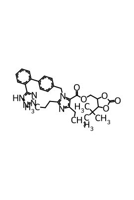 CCCc1nc(CC)c(C(=O)OCC2OC(=O)OC2C(C)(C)C)n1Cc1ccc(-c2ccccc2-c2nnn[nH]2)cc1